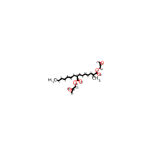 CCCCCCCC(CCCCCC(C)C(=O)OCC1CO1)C(=O)OCC1CO1